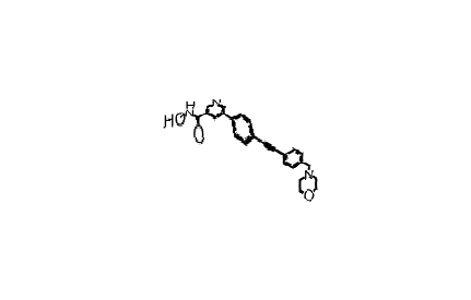 O=C(NO)c1cncc(-c2ccc(C#Cc3ccc(CN4CCOCC4)cc3)cc2)c1